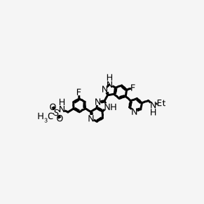 CCNCc1cncc(-c2cc3c(-c4nc5c(-c6cc(F)cc(CNS(C)(=O)=O)c6)nccc5[nH]4)n[nH]c3cc2F)c1